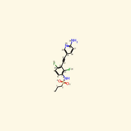 CCCS(=O)(=O)Nc1ccc(F)c(C#Cc2ccc(N)nc2)c1F